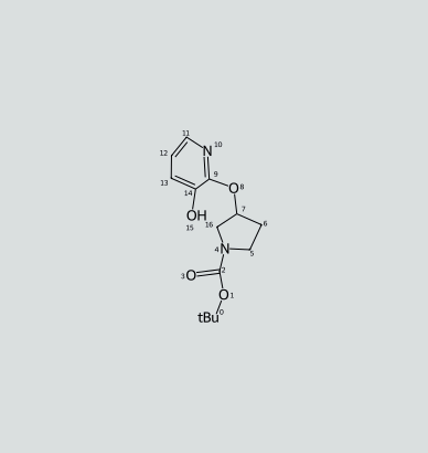 CC(C)(C)OC(=O)N1CCC(Oc2ncccc2O)C1